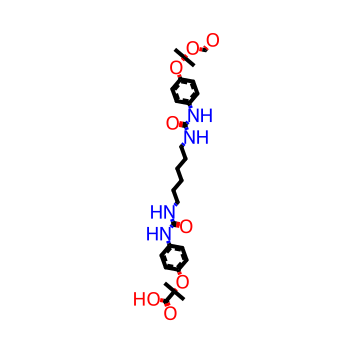 CC(C)(OC=O)Oc1ccc(NC(=O)NCCCCCCNC(=O)Nc2ccc(OC(C)(C)C(=O)O)cc2)cc1